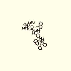 CC(C)(CC(=O)NC1CCc2c(ccc3ccccc23)N(Cc2ccc(-c3ccccc3-c3nnnn3C(c3ccccc3)(c3ccccc3)c3ccccc3)cc2)C1=O)NC(=O)OC(C)(C)C